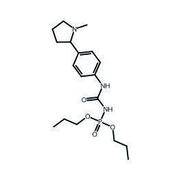 CCCOP(=O)(NC(=O)Nc1ccc(C2CCCN2C)cc1)OCCC